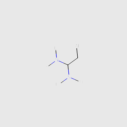 CCN(CC)C([CH2][Al])N(CC)CC